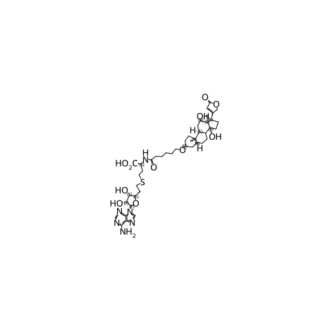 C[C@]12CC[C@@H](OCCCCCC(=O)N[C@@H](CCSCC[C@H]3O[C@@H](n4cnc5c(N)ncnc54)[C@H](O)[C@@H]3O)C(=O)O)C[C@H]1CCC1[C@@H]2C[C@@H](O)[C@]2(C)[C@@H](C3=CC(=O)OC3)CC[C@]12O